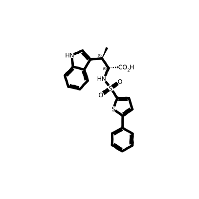 C[C@H](c1c[nH]c2ccccc12)[C@@H](NS(=O)(=O)c1ccc(-c2ccccc2)s1)C(=O)O